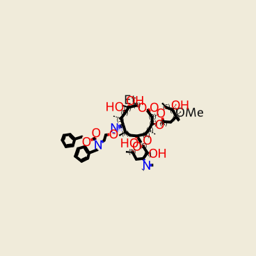 CC[C@H]1OC(=O)[C@H](C)[C@@H](O[C@H]2C[C@@](C)(OC)[C@@H](O)[C@H](C)O2)[C@H](C)[C@@H](O[C@@H]2O[C@H](C)CC(N(C)C)[C@H]2O)C(C)(O)C[C@@H](C)/C(=N\OCCN(Cc2ccccc2)C(=O)OCc2ccccc2)[C@H](C)[C@@H](O)[C@]1(C)O